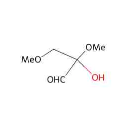 COCC(O)(C=O)OC